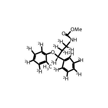 [2H]c1c([2H])c([2H])c([C@]([2H])(Oc2c([2H])c([2H])c([2H])c([2H])c2C)C([2H])([2H])C([2H])([2H])NC(=O)OC)c([2H])c1[2H]